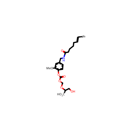 COc1cc(CNC(=O)CCCC/C=C/C(C)C)ccc1OC(=O)OCOC(CO)C(=O)O